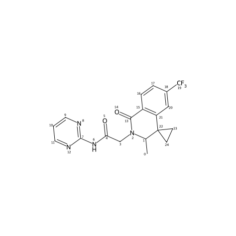 CC1N(CC(=O)Nc2ncccn2)C(=O)c2ccc(C(F)(F)F)cc2C12CC2